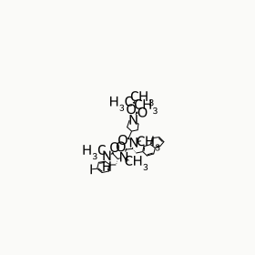 CNC(=O)[C@@H](Cc1ccc(I)cc1)N(C)C(=O)[C@@H](Cc1ccc2ccccc2c1)N(C)C(=O)C1CCN(C(=O)OC(C)(C)C)CC1